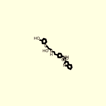 O=S(=O)(Nc1ccc(CCNCC(O)COc2cccc(CO)c2)cc1)c1cnc2ccccc2c1